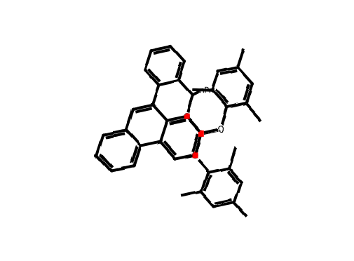 CCCC(OB(Oc1c(C)cc(C)cc1C)Oc1c(C)cc(C)cc1C)c1ccccc1-c1cc2ccccc2c2ccccc12